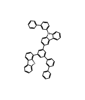 c1ccc(-c2cccc(-c3cc(-c4ccc5c(c4)c4ccccc4n5-c4cccc(-c5ccccc5)c4)cc(-c4cccc5c4sc4ccccc45)c3)c2)cc1